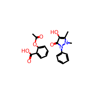 CC(=O)Oc1ccccc1C(=O)O.Cc1c(O)c(=O)n(-c2ccccc2)n1C